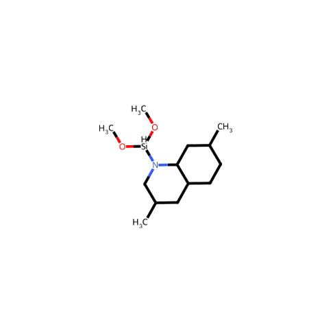 CO[SiH](OC)N1CC(C)CC2CCC(C)CC21